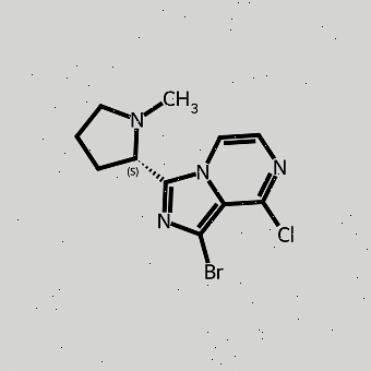 CN1CCC[C@H]1c1nc(Br)c2c(Cl)nccn12